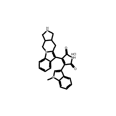 Cl.Cn1cc(C2=C(c3c4n(c5ccccc35)CC3CNCC3C4)C(=O)NC2=O)c2ccccc21